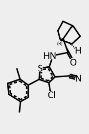 Cc1ccc(C)c(-c2sc(NC(=O)[C@@H]3CC4CCC3CC4)c(C#N)c2Cl)c1